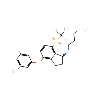 [2H]C([2H])([2H])S(=O)(=O)c1ccc(Oc2cc(F)cc(C#N)c2)c2c1/C(=N\CCCOC)CC2